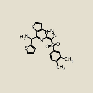 Cc1ccc(S(=O)(=O)c2nnn3c2nc(C(N)c2cccs2)c2sccc23)cc1C